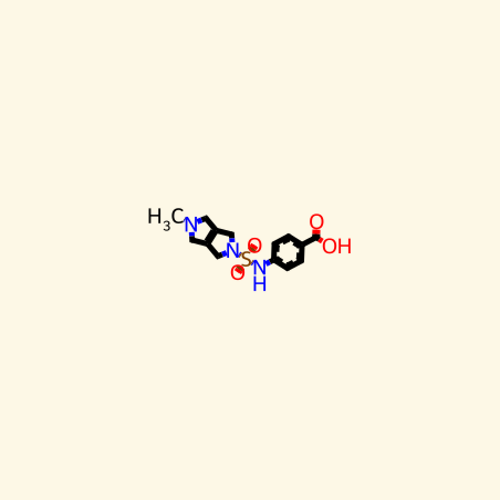 CN1CC2=C(C1)CN(S(=O)(=O)Nc1ccc(C(=O)O)cc1)C2